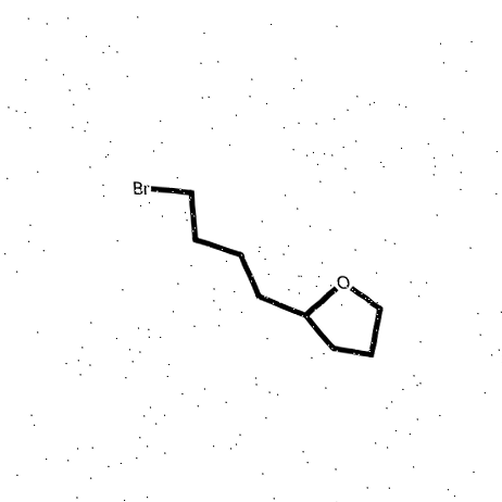 BrCCCCC1CCCO1